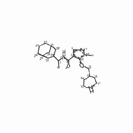 CC(NC(=O)c1cnn(C)c1OCC1CCNCC1)C1CC2CCCC(C2)C1